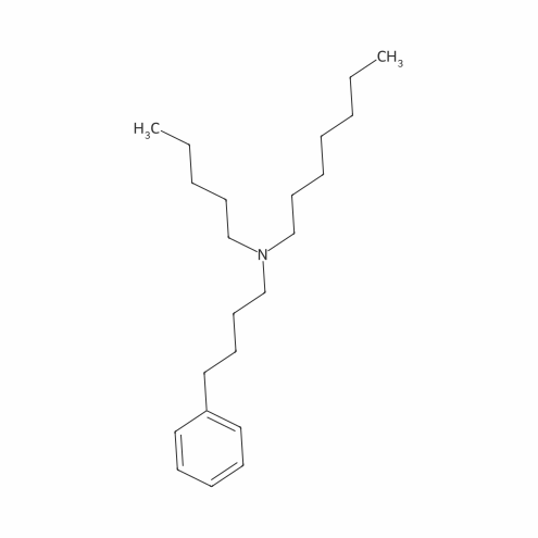 CCCCCCCN(CCCCC)CCCCc1ccccc1